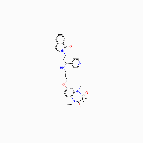 CCN1C(=O)C(C)(C)C(=O)N(C)c2cc(OCCCNC(CCn3ccc4ccccc4c3=O)c3ccncc3)ccc21